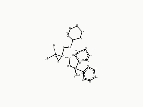 CC(C)(C)[Si](OC[C@]1(COC2CCCCO2)CC1(F)F)(c1ccccc1)c1ccccc1